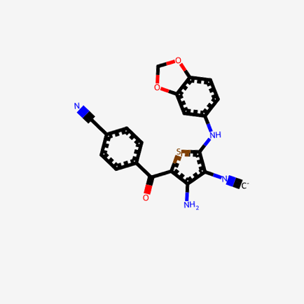 [C-]#[N+]c1c(Nc2ccc3c(c2)OCO3)sc(C(=O)c2ccc(C#N)cc2)c1N